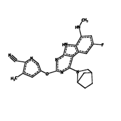 CNc1cc(F)cc2c1[nH]c1nc(Oc3cnc(C#N)c(C)c3)nc(N3CC4CCC3C4)c12